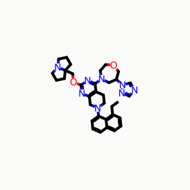 CCc1cccc2cccc(N3CCc4c(nc(OCC56CCCN5CCC6)nc4N4CCOCC(n5cncn5)C4)C3)c12